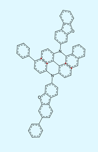 c1ccc(-c2ccc(N(c3ccc4c(c3)oc3cc(-c5ccccc5)ccc34)c3ccccc3-c3ccccc3N(c3ccc4c(c3)oc3ccccc34)c3cccc4ccccc34)cc2)cc1